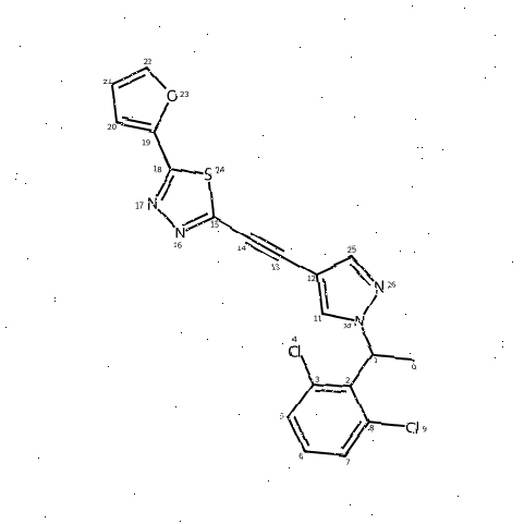 CC(c1c(Cl)cccc1Cl)n1cc(C#Cc2nnc(-c3ccco3)s2)cn1